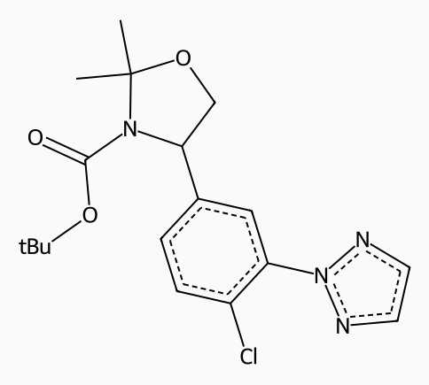 CC(C)(C)OC(=O)N1C(c2ccc(Cl)c(-n3nccn3)c2)COC1(C)C